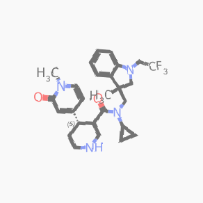 Cn1ccc([C@H]2CCNCC2C(=O)N(CC2(C)CN(CC(F)(F)F)c3ccccc32)C2CC2)cc1=O